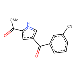 COC(=O)c1cc(C(=O)c2cccc(C#N)c2)c[nH]1